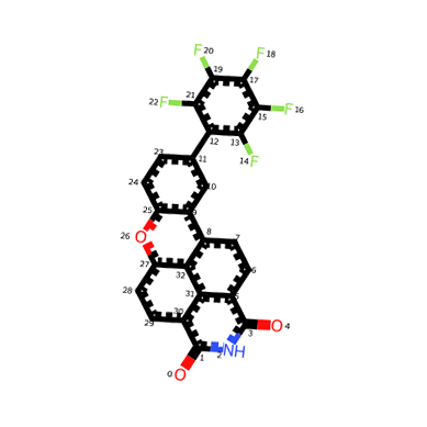 O=c1[nH]c(=O)c2ccc3c4cc(-c5c(F)c(F)c(F)c(F)c5F)ccc4oc4ccc1c2c43